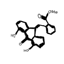 COC(=O)c1ccccc1C=C1c2cccc(O)c2C(=O)c2c(O)cccc21